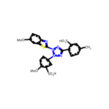 COc1ccc2nc(-n3nc(-c4ccc(C)cc4S(=O)(=O)O)n[n+]3-c3ccc(OC)c(S(=O)(=O)O)c3)sc2c1